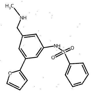 CNCc1cc(NS(=O)(=O)c2ccccc2)cc(-c2ccco2)c1